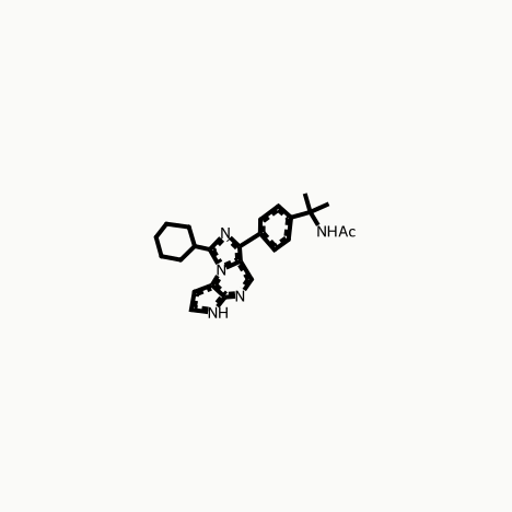 CC(=O)NC(C)(C)c1ccc(-c2nc(C3CCCCC3)n3c2cnc2[nH]ccc23)cc1